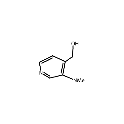 CNc1[c]nccc1CO